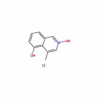 Cc1c[n+](O)cc2cccc(O)c12.[Cl-]